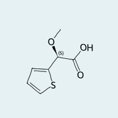 CO[C@@H](C(=O)O)c1cccs1